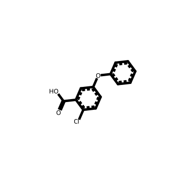 O=C(O)c1cc(Oc2ccccc2)ccc1Cl